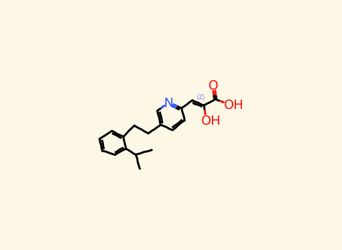 CC(C)c1ccccc1CCc1ccc(/C=C(\O)C(=O)O)nc1